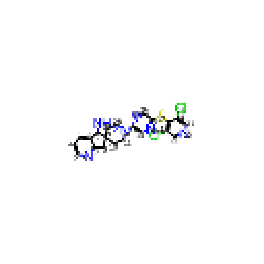 N[C@@H]1c2cccnc2CC12CCN(c1cnc(Sc3c(Cl)cncc3Cl)cn1)CC2